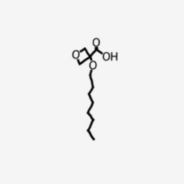 CCCCCCCCOC1(C(=O)O)COC1